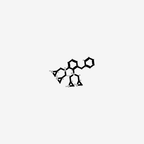 c1ccc(Cc2cccc(N(CC3CO3)CC3CO3)c2N(CC2CO2)CC2CO2)cc1